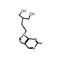 OCC(CO)CCn1cnc2cnc(F)nc21